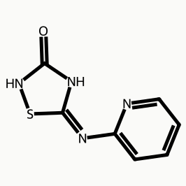 O=c1[nH]s/c(=N/c2ccccn2)[nH]1